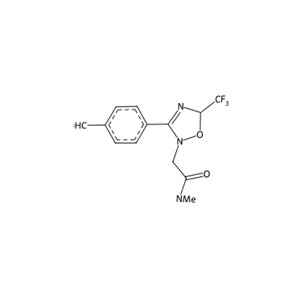 [CH]c1ccc(C2=NC(C(F)(F)F)ON2CC(=O)NC)cc1